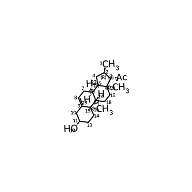 CC(=O)[C@H]1[C@H](C)C[C@H]2[C@@H]3CC=C4CC(O)CC[C@]4(C)[C@H]3CC[C@@]21C